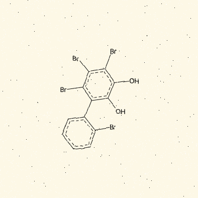 Oc1c(O)c(-c2ccccc2Br)c(Br)c(Br)c1Br